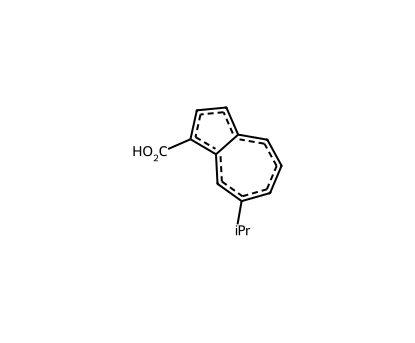 CC(C)c1cccc2ccc(C(=O)O)c-2c1